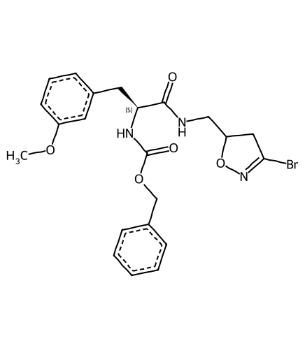 COc1cccc(C[C@H](NC(=O)OCc2ccccc2)C(=O)NCC2CC(Br)=NO2)c1